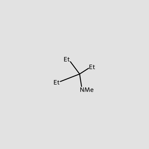 CCC(CC)(CC)NC